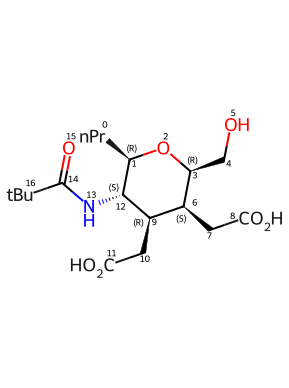 CCC[C@H]1O[C@@H](CO)[C@@H](CC(=O)O)[C@@H](CC(=O)O)[C@@H]1NC(=O)C(C)(C)C